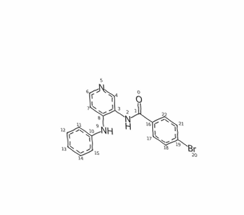 O=C(Nc1cnccc1Nc1ccccc1)c1ccc(Br)cc1